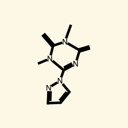 C=C1N=C(n2cccn2)N(C)C(=C)N1C